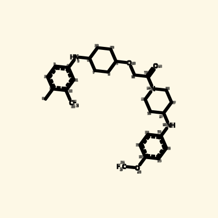 Cc1ccc(NC2CCC(OCC(=O)N3CCC(Nc4ccc(OC(F)(F)F)cc4)CC3)CC2)cc1C(F)(F)F